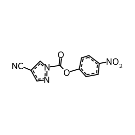 N#Cc1cnn(C(=O)Oc2ccc([N+](=O)[O-])cc2)c1